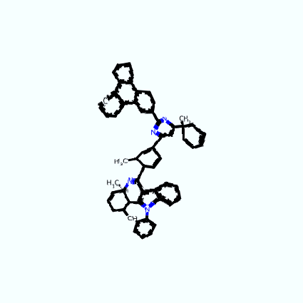 CC1C=C(c2cc(C3(C)C=CC=CC3)nc(-c3ccc4c5ccccc5c5ccccc5c4c3)n2)C=CC1C1=N[C@]2(C)C=CCC(C)C2c2c1c1ccccc1n2-c1ccccc1